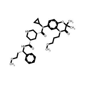 COCCCN1C(=O)C(C)(C)Oc2ccc(N(C(=O)[C@H]3CNC[C@@H](C(=O)N[C@@H](CCOC)c4ccccc4)C3)C3CC3)cc21